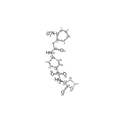 O=C(Cc1ccccc1[N+](=O)[O-])Nc1ccc(S(=O)(=O)N[C@H]2CCOC2=O)cc1